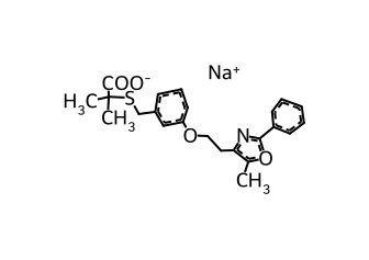 Cc1oc(-c2ccccc2)nc1CCOc1cccc(CSC(C)(C)C(=O)[O-])c1.[Na+]